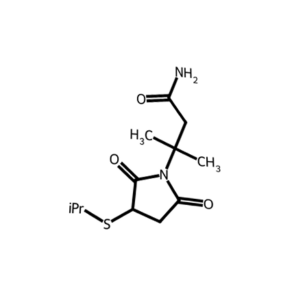 CC(C)SC1CC(=O)N(C(C)(C)CC(N)=O)C1=O